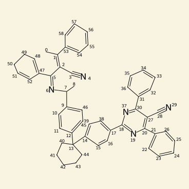 C/C(=C(C#N)\C(=N/C(C)c1ccc(C2(c3ccc(-c4nc(-c5ccccc5)c(C#N)c(-c5ccccc5)n4)cc3)CCCCC2)cc1)C1=CCCC=C1)c1ccccc1